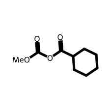 COC(=O)OC(=O)C1CCCCC1